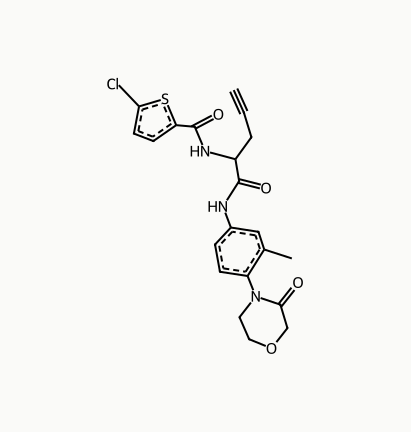 C#CCC(NC(=O)c1ccc(Cl)s1)C(=O)Nc1ccc(N2CCOCC2=O)c(C)c1